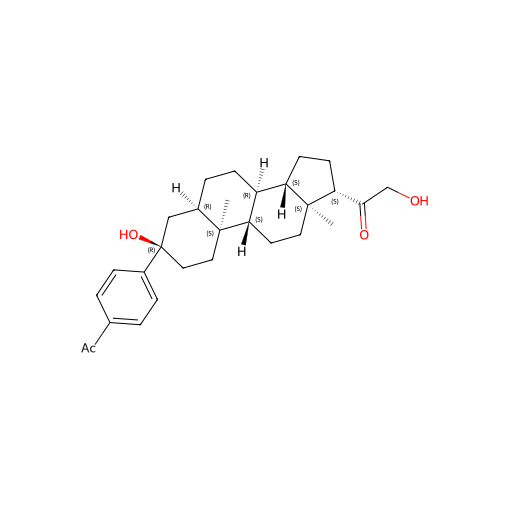 CC(=O)c1ccc([C@@]2(O)CC[C@@]3(C)[C@H](CC[C@@H]4[C@@H]3CC[C@]3(C)[C@@H](C(=O)CO)CC[C@@H]43)C2)cc1